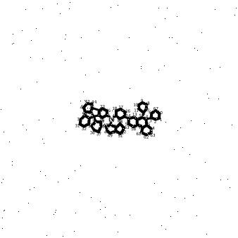 c1ccc(-c2c(-c3ccccc3)c3cc(-c4cccc(N(c5ccc6c(c5)C(c5ccccc5)(c5ccccc5)c5ccccc5-6)c5cccc6ccccc56)c4)ccc3c3ccccc23)cc1